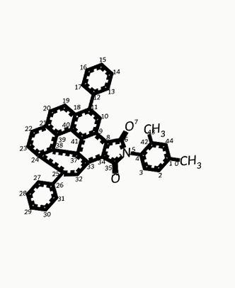 Cc1ccc(-n2c(=O)c3c4cc(-c5ccccc5)c5ccc6ccc7c(-c8ccccc8)cc(c3c2=O)c2c7c6c5c42)c(C)c1